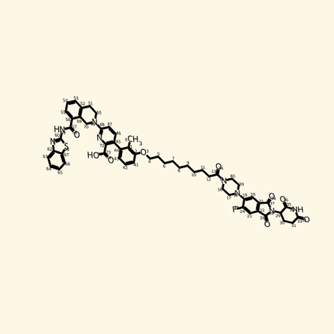 Cc1c(OCCCCCCCCCC(=O)N2CCN(c3cc4c(cc3F)C(=O)N(C3CCC(=O)NC3=O)C4=O)CC2)cccc1-c1ccc(N2CCc3cccc(C(=O)Nc4nc5ccccc5s4)c3C2)nc1C(=O)O